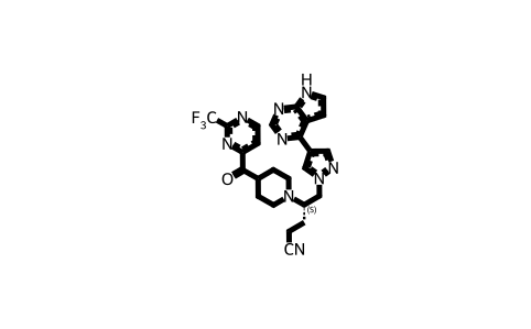 N#CCC[C@@H](Cn1cc(-c2ncnc3[nH]ccc23)cn1)N1CCC(C(=O)c2ccnc(C(F)(F)F)n2)CC1